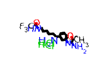 CC1Oc2ccc(C(N)CCCCCNC(=O)C(F)(F)F)cc2N=C1N.Cl.Cl